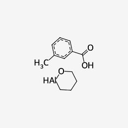 C1C[CH2][AlH][O]C1.Cc1cccc(C(=O)O)c1